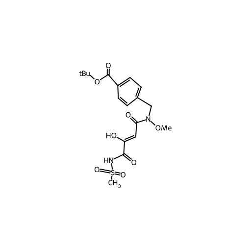 CON(Cc1ccc(C(=O)OC(C)(C)C)cc1)C(=O)C=C(O)C(=O)NS(C)(=O)=O